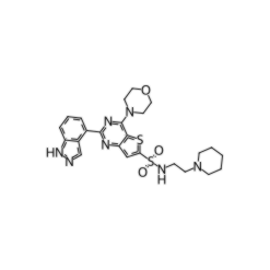 O=S(=O)(NCCN1CCCCC1)c1cc2nc(-c3cccc4[nH]ncc34)nc(N3CCOCC3)c2s1